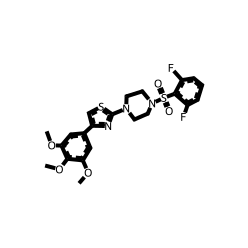 COc1cc(-c2csc(N3CCN(S(=O)(=O)c4c(F)cccc4F)CC3)n2)cc(OC)c1OC